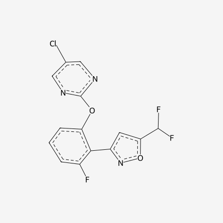 Fc1cccc(Oc2ncc(Cl)cn2)c1-c1cc(C(F)F)on1